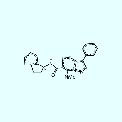 CNc1c(C(=O)N[C@H]2CCc3ccccc32)cnc2c(-c3ccccc3)cnn12